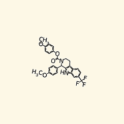 COc1ccc(OC(=O)N2CCc3c([nH]c4cc(C(F)(F)F)ccc34)C2c2ccc(OC)cc2)cc1